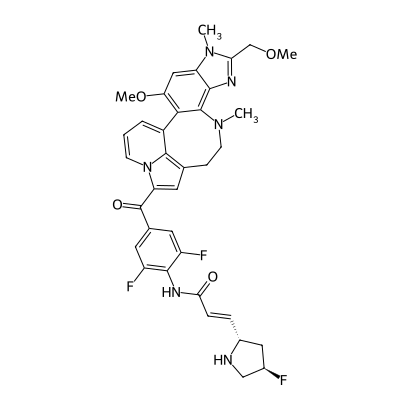 COCc1nc2c3c(c(OC)cc2n1C)-c1cccn2c(C(=O)c4cc(F)c(NC(=O)/C=C/[C@@H]5C[C@@H](F)CN5)c(F)c4)cc(c12)CCN3C